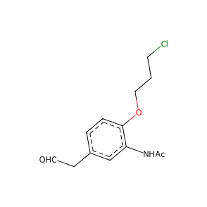 CC(=O)Nc1cc(CC=O)ccc1OCCCCl